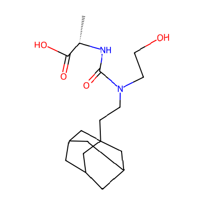 C[C@H](NC(=O)N(CCO)CCC12CC3CC(CC(C3)C1)C2)C(=O)O